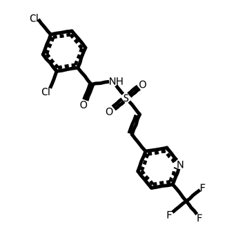 O=C(NS(=O)(=O)C=Cc1ccc(C(F)(F)F)nc1)c1ccc(Cl)cc1Cl